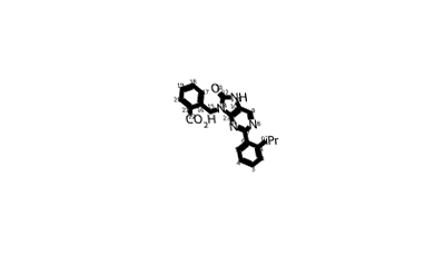 CC(C)c1ccccc1-c1ncc2[nH]c(=O)n(Cc3ccccc3C(=O)O)c2n1